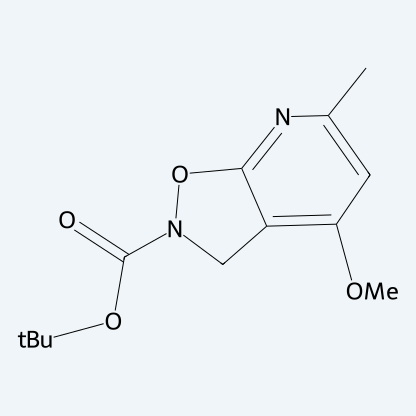 COc1cc(C)nc2c1CN(C(=O)OC(C)(C)C)O2